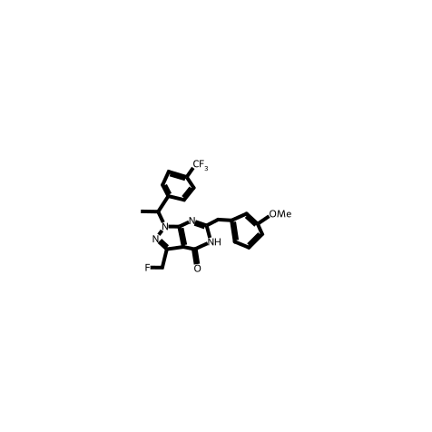 COc1cccc(Cc2nc3c(c(CF)nn3C(C)c3ccc(C(F)(F)F)cc3)c(=O)[nH]2)c1